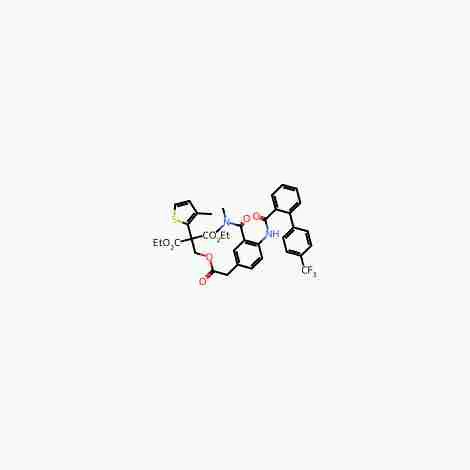 CCOC(=O)C(COC(=O)Cc1ccc(NC(=O)c2ccccc2-c2ccc(C(F)(F)F)cc2)c(C(=O)N(C)C)c1)(C(=O)OCC)c1sccc1C